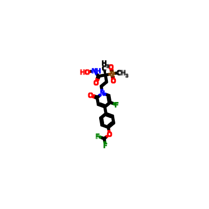 C[C@@](CCn1cc(F)c(-c2ccc(OC(F)F)cc2)cc1=O)(C(=O)NO)S(C)(=O)=O